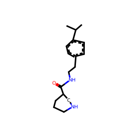 CC(C)c1ccc(CCNC(=O)C2CCCNC2)cc1